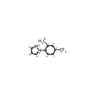 Cc1cc(C(F)(F)F)ccc1-n1cccn1